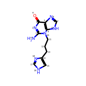 Nc1nc(=O)c2nc[nH]c2n1CCCc1c[nH]cn1